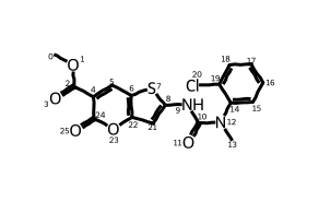 COC(=O)c1cc2sc(NC(=O)N(C)c3ccccc3Cl)cc2oc1=O